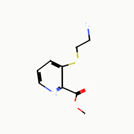 COC(=O)c1ncccc1SCCN